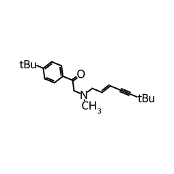 CN(C/C=C/C#CC(C)(C)C)CC(=O)c1ccc(C(C)(C)C)cc1